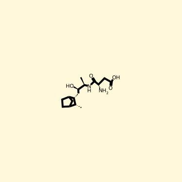 C[C@@H]1C2CCC(C2)[C@@H]1C[C@@H](O)[C@@H](C)NC(=O)[C@@H](N)CC(=O)O